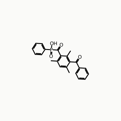 Cc1cc(C)c(C(=O)P(=O)(O)c2ccccc2)c(C)c1C(=O)c1ccccc1